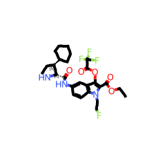 CCOC(=O)c1c(OC(=O)C(F)(F)F)c2cc(NC(=O)[C@@H]3NCC[C@H]3C3CCCCC3)ccc2n1CCF